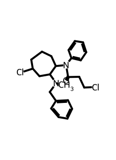 CN(Cc1ccccc1)C1CC(Cl)CCCC1N(C(=O)CCCl)c1ccccc1